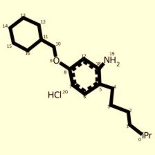 CC(C)CCCCc1ccc(OCC2CCCCC2)cc1N.Cl